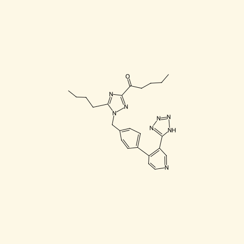 CCCCC(=O)c1nc(CCCC)n(Cc2ccc(-c3ccncc3-c3nnn[nH]3)cc2)n1